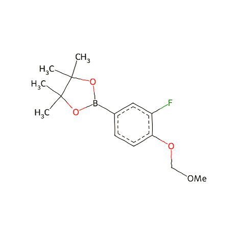 COCOc1ccc(B2OC(C)(C)C(C)(C)O2)cc1F